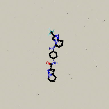 O=C(N[C@H]1CC[C@@H](Nc2cccc3nc(C(F)(F)F)cn23)CC1)c1cc2n(n1)CCCC2